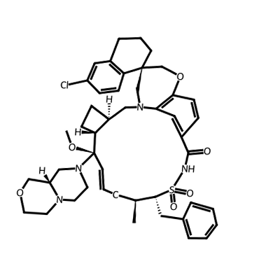 CO[C@]1(N2CCN3CCOC[C@@H]3C2)/C=C/C[C@H](C)[C@@H](Cc2ccccc2)S(=O)(=O)NC(=O)c2ccc3c(c2)N(C[C@@H]2CC[C@H]21)C[C@@]1(CCCc2cc(Cl)ccc21)CO3